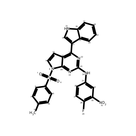 Cc1ccc(S(=O)(=O)n2ccc3c(-c4c[nH]c5ccccc45)nc(Nc4ccc(F)c([N+](=O)[O-])c4)nc32)cc1